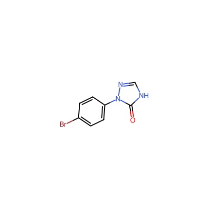 O=c1[nH]cnn1-c1ccc(Br)cc1